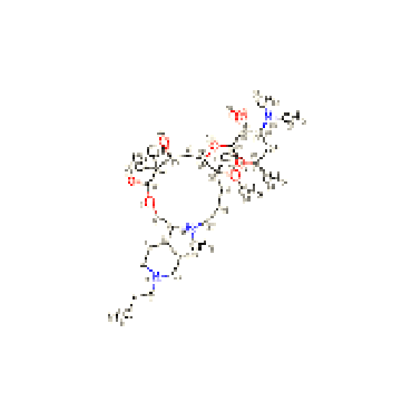 CCCN1CCC(C2COC(=O)C(C)(C)C(=O)C[C@@H](O[C@@H]3O[C@H](C)C[C@H](N(C)C)[C@H]3O)[C@](C)(OC)CCCN2C)CC1